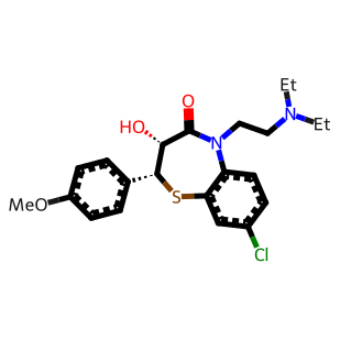 CCN(CC)CCN1C(=O)[C@@H](O)[C@@H](c2ccc(OC)cc2)Sc2cc(Cl)ccc21